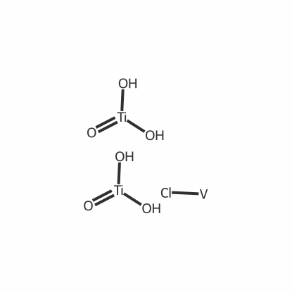 [Cl][V].[O]=[Ti]([OH])[OH].[O]=[Ti]([OH])[OH]